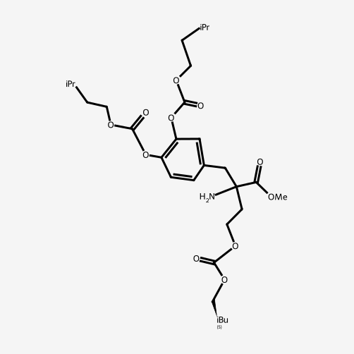 CC[C@H](C)COC(=O)OCCC(N)(Cc1ccc(OC(=O)OCCC(C)C)c(OC(=O)OCCC(C)C)c1)C(=O)OC